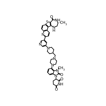 C[C@@H]1CNc2c(sc3ccc4nc(-c5cncc(N6CCC(CN7CCN(c8cccc9c8n(C)c(=O)n9C8CCC(=O)NC8=O)CC7)CC6)c5)ccc4c23)C(=O)N1